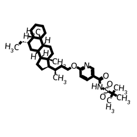 CC[C@H]1C[C@@H]2[C@H](CC[C@]3(C)[C@@H]([C@H](C)CCOc4ccc(C(=O)NS(=O)(=O)C(C)(C)C)cn4)CC[C@@H]23)[C@@]2(C)CCCC[C@@H]12